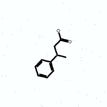 CC(CC([O])=O)c1ccccc1